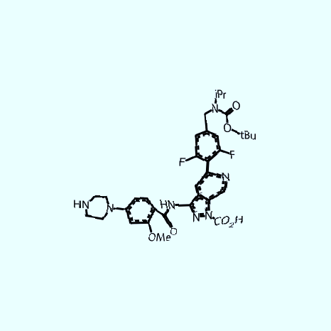 COc1cc(N2CCNCC2)ccc1C(=O)Nc1nn(C(=O)O)c2cnc(-c3c(F)cc(CN(C(=O)OC(C)(C)C)C(C)C)cc3F)cc12